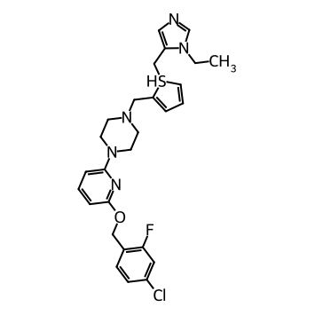 CCn1cncc1C[SH]1C=CC=C1CN1CCN(c2cccc(OCc3ccc(Cl)cc3F)n2)CC1